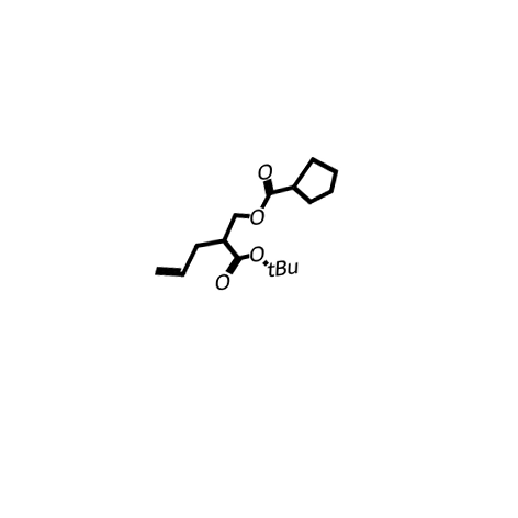 C=CCC(COC(=O)C1CCCC1)C(=O)OC(C)(C)C